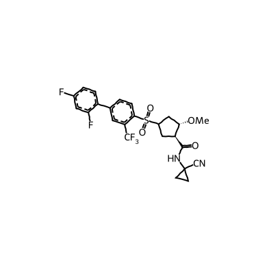 CO[C@H]1CC(S(=O)(=O)c2ccc(-c3ccc(F)cc3F)cc2C(F)(F)F)C[C@@H]1C(=O)NC1(C#N)CC1